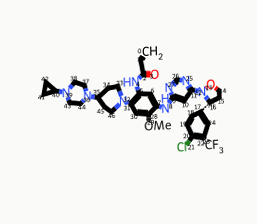 C=CC(=O)Nc1cc(Nc2cc(N3OCC[C@@H]3c3ccc(Cl)c(C(F)(F)F)c3)ncn2)c(OC)cc1N1CCC(N2CCN(C3CC3)CC2)CC1